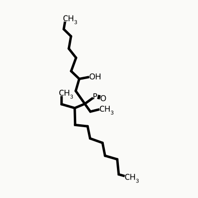 CCCCCCCCC(CC)C(CC)(CC(O)CCCCCC)P=O